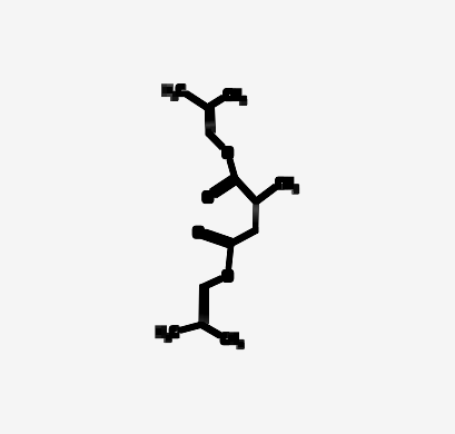 CC(C)=COC(=O)CC(C)C(=O)OC=C(C)C